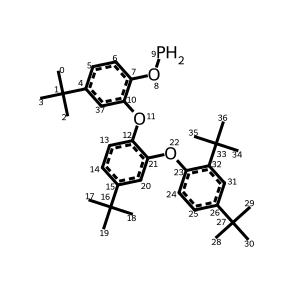 CC(C)(C)c1ccc(OP)c(Oc2ccc(C(C)(C)C)cc2Oc2ccc(C(C)(C)C)cc2C(C)(C)C)c1